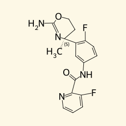 C[C@@]1(c2cc(NC(=O)c3ncccc3F)ccc2F)CCOC(N)=N1